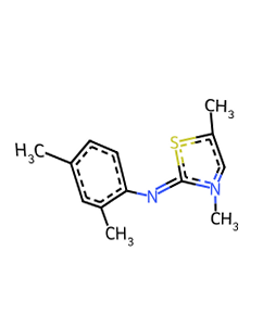 Cc1ccc(N=c2sc(C)cn2C)c(C)c1